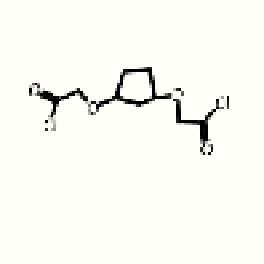 O=C(Cl)COC1CCC(OCC(=O)Cl)C1